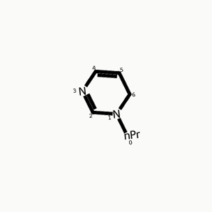 [CH2]CCN1C=NC=CC1